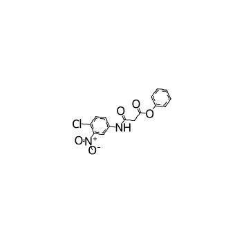 O=C(CC(=O)Oc1ccccc1)Nc1ccc(Cl)c([N+](=O)[O-])c1